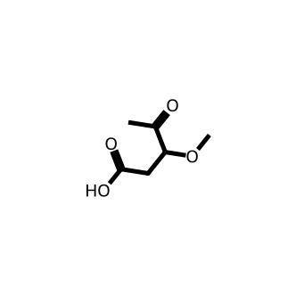 COC(CC(=O)O)C(C)=O